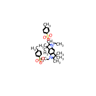 CC[N+]1=C(C)C(C)(C)c2cc3c(cc21)C(C)(C)C(C)=[N+]3CC.Cc1ccc(S(=O)(=O)[O-])cc1.Cc1ccc(S(=O)(=O)[O-])cc1